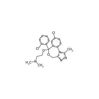 Cc1nnc2n1-c1ccc(Cl)cc1C(OCCN(C)C)(c1ccccc1Cl)OC2